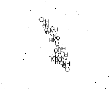 CN[C@@H](C)C(=O)N[C@H]1CN(C(=O)Nc2ccc(NC(=O)N3CCC(=O)N4[C@H](CC[C@H]4C(=O)N[C@@H]4C[C@@H]4c4ccccc4)CC3)cc2)CC[C@H]2CC[C@@H](C(=O)NOc3ccccc3)N2C1=O